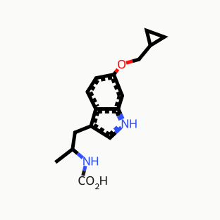 CC(Cc1c[nH]c2cc(OCC3CC3)ccc12)NC(=O)O